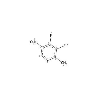 Cc1ccc([N+](=O)[O-])c(F)c1F